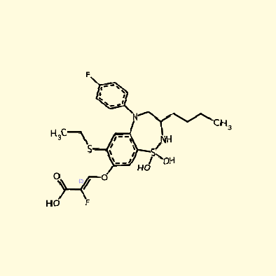 CCCCC1CN(c2ccc(F)cc2)c2cc(SCC)c(O/C=C(\F)C(=O)O)cc2S(O)(O)N1